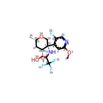 COc1cc([C@]2(NC(=O)C(F)(F)F)CO[C@@H](C)C[C@H]2CO)c(F)cn1